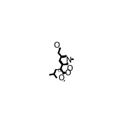 COC(=O)[C@@H](CC(C)C)c1cc(CC=O)cn(C)c1=O